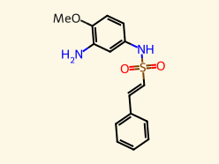 COc1ccc(NS(=O)(=O)C=Cc2ccccc2)cc1N